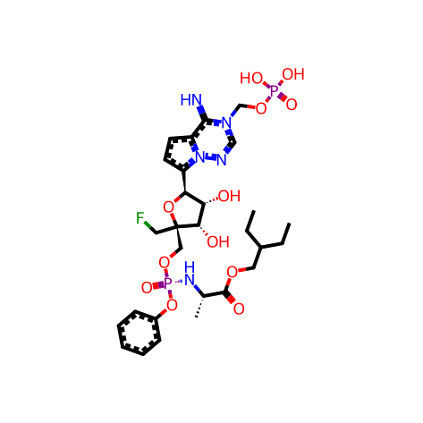 CCC(CC)COC(=O)[C@H](C)N[P@](=O)(OC[C@@]1(CF)O[C@@H](c2ccc3c(=N)n(COP(=O)(O)O)cnn23)[C@H](O)[C@@H]1O)Oc1ccccc1